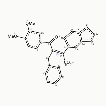 COc1ccc(C(=O)/C(Cc2ccccc2)=C(/C(=O)O)c2ccc3nsnc3c2)cc1OC